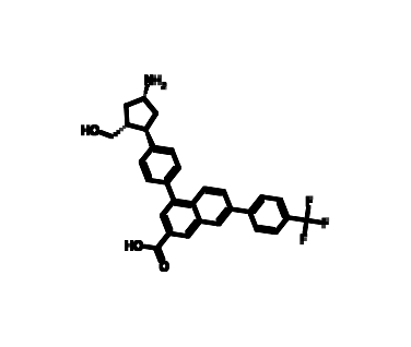 N[C@H]1C[C@@H](CO)[C@H](c2ccc(-c3cc(C(=O)O)cc4cc(-c5ccc(C(F)(F)F)cc5)ccc34)cc2)C1